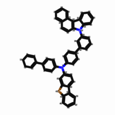 C1=CC(c2ccc(N(c3ccc(-c4cccc(-n5c6ccccc6c6c7ccccc7ccc65)c4)cc3)c3ccc4c(c3)sc3ccccc34)cc2)=CCC1